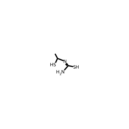 CC(S)/N=C(\N)S